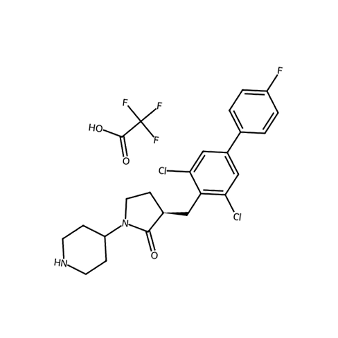 O=C(O)C(F)(F)F.O=C1[C@H](Cc2c(Cl)cc(-c3ccc(F)cc3)cc2Cl)CCN1C1CCNCC1